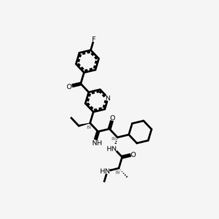 CC[C@H](C(=N)C(=O)[C@@H](NC(=O)[C@H](C)NC)C1CCCCC1)c1cncc(C(=O)c2ccc(F)cc2)c1